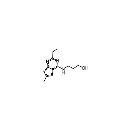 CCc1nc(NCCCO)c2cc(C)sc2n1